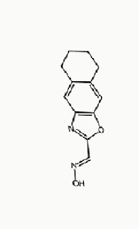 ON=Cc1nc2cc3c(cc2o1)CCCC3